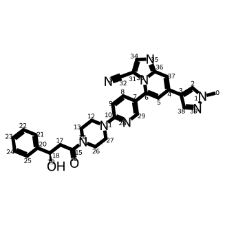 Cn1cc(-c2cc(-c3ccc(N4CCN(C(=O)C[C@@H](O)c5ccccc5)CC4)nc3)n3c(C#N)cnc3c2)cn1